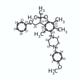 COc1ccc(N2CCN(c3c(C)c(C)c4c(c3C)C(COc3ccccc3)C(C)(C)O4)CC2)cc1